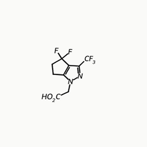 O=C(O)Cn1nc(C(F)(F)F)c2c1CCC2(F)F